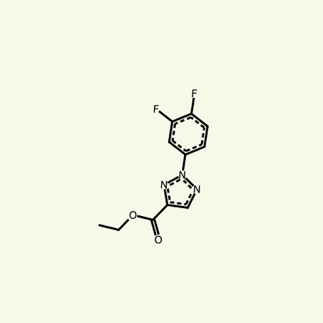 CCOC(=O)c1cnn(-c2ccc(F)c(F)c2)n1